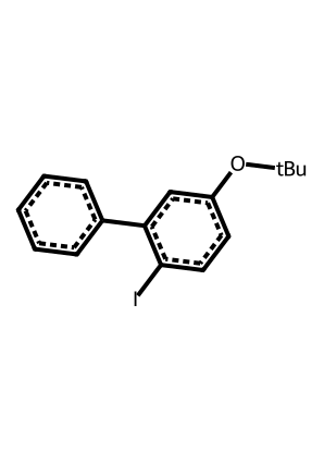 CC(C)(C)Oc1ccc(I)c(-c2ccccc2)c1